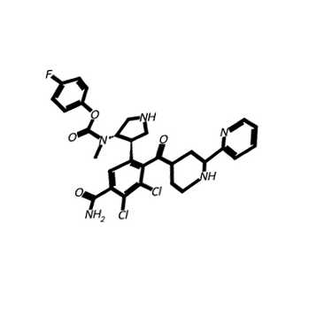 CN(C(=O)Oc1ccc(F)cc1)[C@@H]1CNC[C@H]1c1cc(C(N)=O)c(Cl)c(Cl)c1C(=O)C1CCNC(c2ccccn2)C1